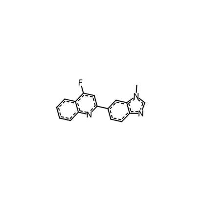 Cn1cnc2ccc(-c3cc(F)c4ccccc4n3)cc21